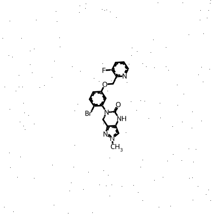 Cn1cc2c(n1)CN(c1cc(OCc3ncccc3F)ccc1Br)C(=O)N2